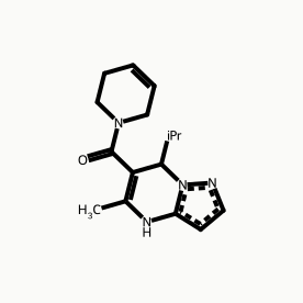 CC1=C(C(=O)N2CC=CCC2)C(C(C)C)n2nccc2N1